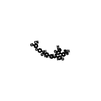 CCS(=O)(=O)c1ccc(-n2cc(CCC3CCN(c4ccc(C(=O)N[C@H]5CC[C@H](Oc6ccc(C#N)c(Cl)c6)CC5)nn4)CC3)ncc2=O)c(-c2cn(C)c(=O)c3[nH]ccc23)c1